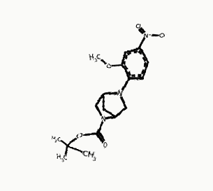 COc1cc([N+](=O)[O-])ccc1N1CC2CC1CN2C(=O)OC(C)(C)C